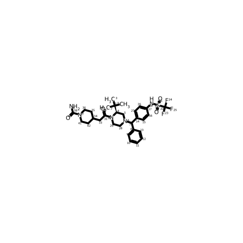 CC(C)(C)[C@H]1CN(C(c2ccccc2)c2ccc(NS(=O)(=O)C(F)(F)F)cc2)CCN1C(=O)CC1CCN(C(N)=O)CC1